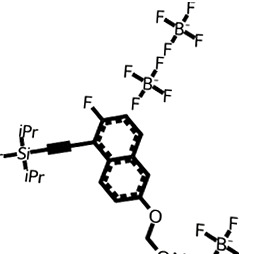 COCOc1ccc2c(C#C[Si](C(C)C)(C(C)C)C(C)C)c(F)ccc2c1.F[B-](F)(F)F.F[B-](F)(F)F.F[B-](F)(F)F